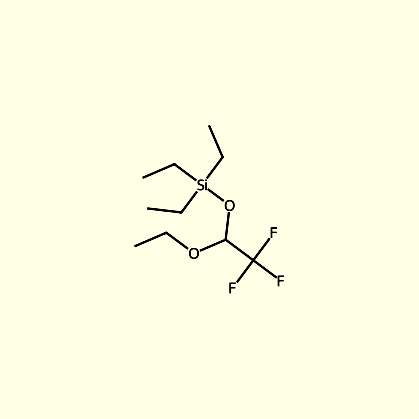 CCOC(O[Si](CC)(CC)CC)C(F)(F)F